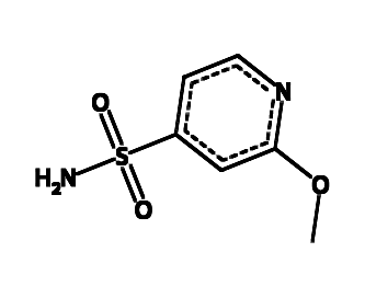 COc1cc(S(N)(=O)=O)ccn1